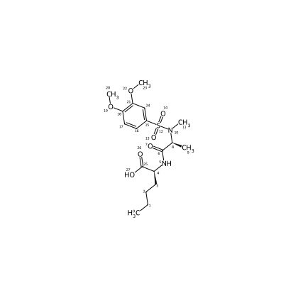 CCCC[C@H](NC(=O)[C@H](C)N(C)S(=O)(=O)c1ccc(OC)c(OC)c1)C(=O)O